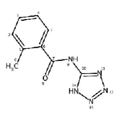 Cc1ccccc1C(=O)Nc1nnn[nH]1